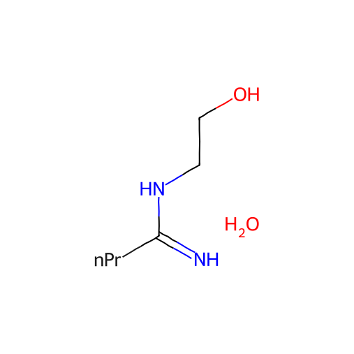 CCCC(=N)NCCO.O